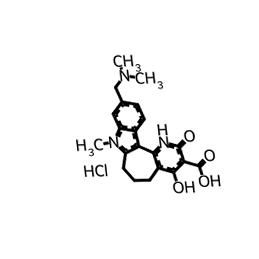 CN(C)Cc1ccc2c3c(n(C)c2c1)CCCc1c-3[nH]c(=O)c(C(=O)O)c1O.Cl